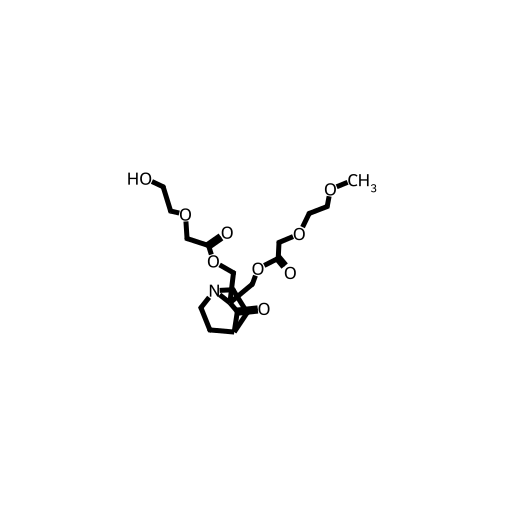 COCCOCC(=O)OCC1(COC(=O)COCCO)C(=O)C2CCN1CC2